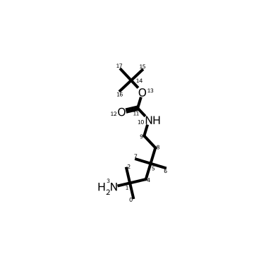 CC(C)(N)CC(C)(C)CCNC(=O)OC(C)(C)C